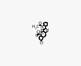 CC(=O)Nc1ccccc1-c1cc2c(cn1)C=Cc1cc(Cl)ccc1N(C(C)=O)C2